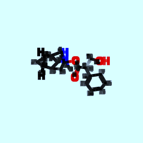 CNC1C2CC(OC(=O)[C@H](CO)c3ccccc3)CC1[C@@H]1C[C@H]21